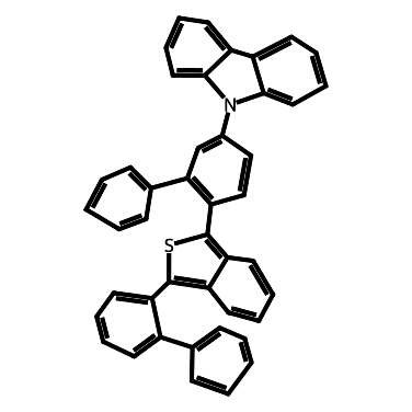 c1ccc(-c2ccccc2-c2sc(-c3ccc(-n4c5ccccc5c5ccccc54)cc3-c3ccccc3)c3ccccc23)cc1